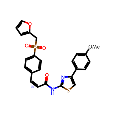 COc1ccc(-c2csc(NC(=O)/C=C\c3ccc(S(=O)(=O)Cc4ccco4)cc3)n2)cc1